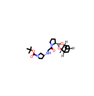 CC(C)(C)OC(=O)N1CC[C@@H](NCC(=O)N2CCC[C@H]2B2O[C@@H]3C[C@@H]4C[C@@H](C4(C)C)[C@]3(C)O2)C1